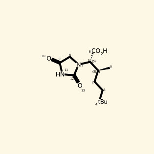 C[C@@H](CCC(C)(C)C)[C@@H](C(=O)O)N1CC(=O)NC1=O